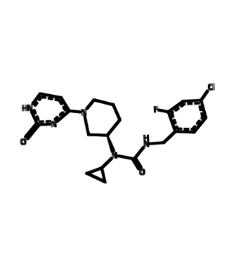 O=C(NCc1ccc(Cl)cc1F)N(C1CC1)[C@@H]1CCCN(c2cc[nH]c(=O)n2)C1